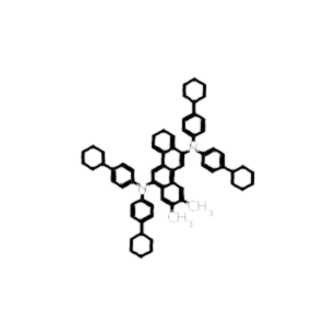 Cc1cc2c(N(c3ccc(C4CCCCC4)cc3)c3ccc(C4CCCCC4)cc3)cc3c4c(c(N(c5ccc(C6CCCCC6)cc5)c5ccc(C6CCCCC6)cc5)cc3c2cc1C)=CCCC=4